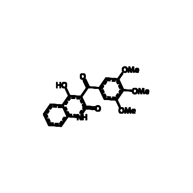 COc1cc(C(=O)c2c(O)c3ccccc3[nH]c2=O)cc(OC)c1OC